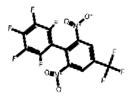 O=[N+]([O-])c1cc(C(F)(F)F)cc([N+](=O)[O-])c1-c1c(F)c(F)c(F)c(F)c1F